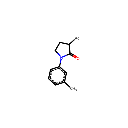 CC(=O)C1CCN(c2cccc(C)c2)C1=O